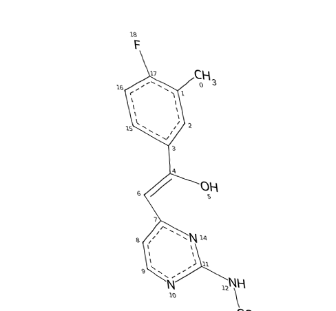 Cc1cc(/C(O)=C/c2ccnc(NC(=O)O)n2)ccc1F